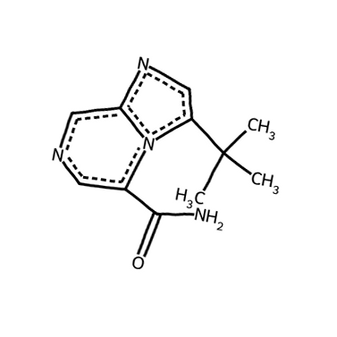 CC(C)(C)c1cnc2cncc(C(N)=O)n12